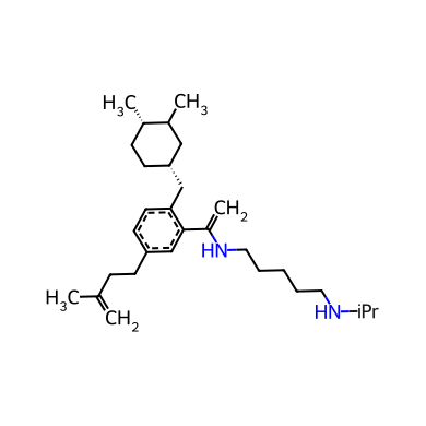 C=C(C)CCc1ccc(C[C@@H]2CC[C@H](C)C(C)C2)c(C(=C)NCCCCCNC(C)C)c1